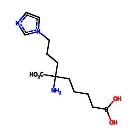 NC(CCCCB(O)O)(CCCn1ccnc1)C(=O)O